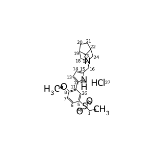 CCS(=O)(=O)c1ccc(OC)c(-c2ccc(CN3CC4CCC(C4)C3)[nH]2)c1.Cl